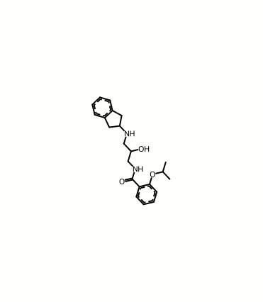 CC(C)Oc1ccccc1C(=O)NCC(O)CNC1Cc2ccccc2C1